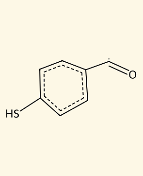 O=[C]c1ccc(S)cc1